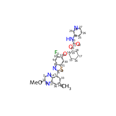 COc1cnc2c(-c3nc4cc(F)c(O[C@H]5CCCC[C@H]5OC(=O)Nc5cccnc5)cc4s3)cc(C)cc2n1